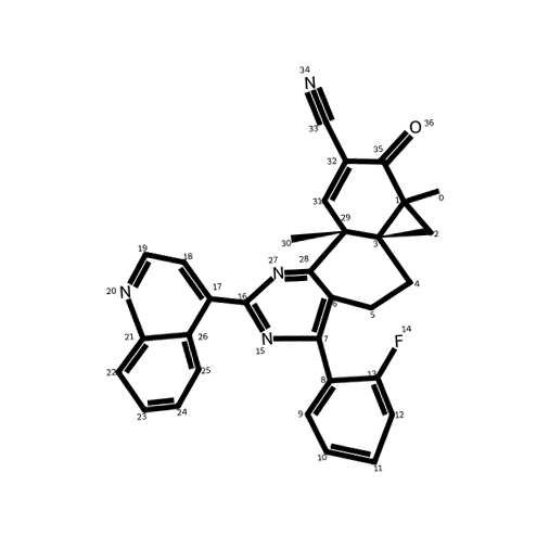 CC12C[C@]13CCc1c(-c4ccccc4F)nc(-c4ccnc5ccccc45)nc1[C@]3(C)C=C(C#N)C2=O